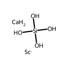 O[Si](O)(O)O.[CaH2].[Sc]